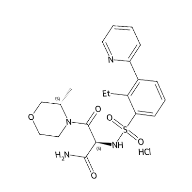 CCc1c(-c2ccccn2)cccc1S(=O)(=O)N[C@@H](C(N)=O)C(=O)N1CCOC[C@@H]1C.Cl